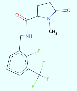 CN1C(=O)CCC1C(=O)NCc1cccc(C(F)(F)F)c1F